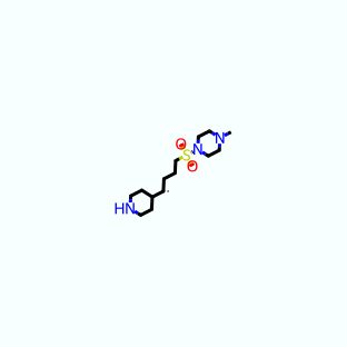 CN1CCN(S(=O)(=O)CCC[CH]C2CCNCC2)CC1